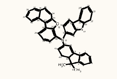 CC1(C)c2ccccc2C2=CC(N(c3ccc4c(c3)SC3CC=CC=C43)c3cccc4c3oc3ccc5ccccc5c34)=CCC21